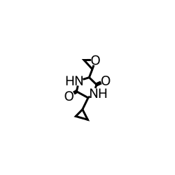 O=C1NC(C2CO2)C(=O)NC1C1CC1